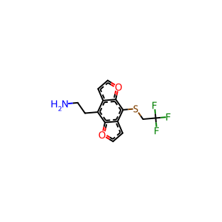 NCCc1c2ccoc2c(SCC(F)(F)F)c2ccoc12